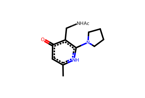 CC(=O)NCc1c(N2CCCC2)[nH]c(C)cc1=O